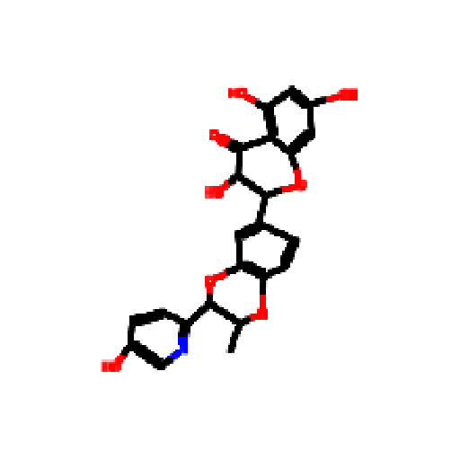 CC1Oc2ccc(C3Oc4cc(O)cc(O)c4C(=O)C3O)cc2OC1c1ccc(O)cn1